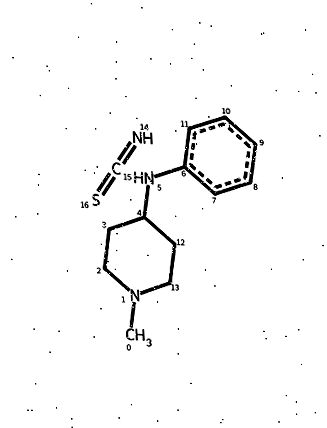 CN1CCC(Nc2ccccc2)CC1.N=C=S